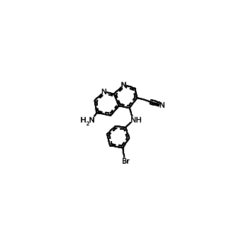 N#Cc1cnc2ncc(N)cc2c1Nc1cccc(Br)c1